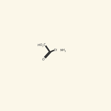 CCC(=O)C(=O)O.N